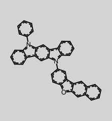 c1ccc(-n2c3ccccc3c3cc4c(cc32)c2ccccc2n4-c2ccc3oc4cc5ccccc5cc4c3c2)cc1